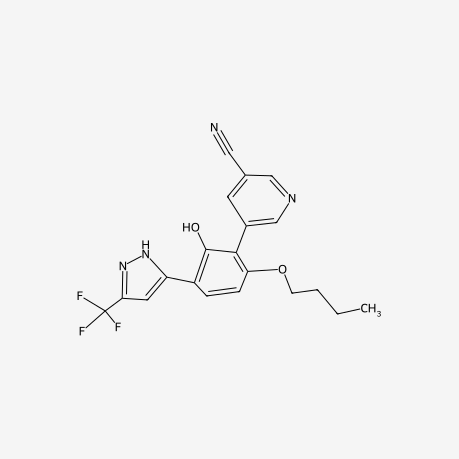 CCCCOc1ccc(-c2cc(C(F)(F)F)n[nH]2)c(O)c1-c1cncc(C#N)c1